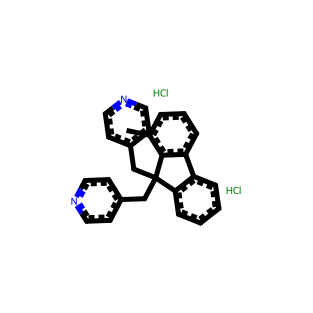 Cc1cccc2c1C(Cc1ccncc1)(Cc1ccncc1)c1ccccc1-2.Cl.Cl